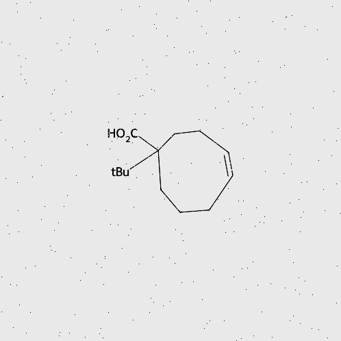 CC(C)(C)C1(C(=O)O)CC/C=C\CCC1